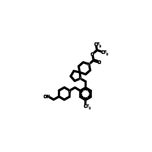 O=NCC1CCN(Cc2cc(C(F)(F)F)ccc2CN2CCCC23CCN(C(=O)OC(C(F)(F)F)C(F)(F)F)CC3)CC1